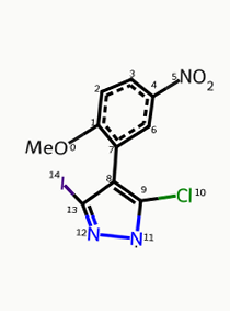 COc1ccc([N+](=O)[O-])cc1C1=C(Cl)[N]N=C1I